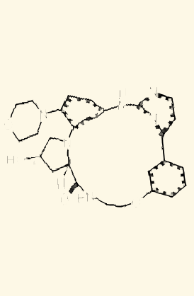 O=C1NCCOc2cccc(c2)-c2ccnc(n2)Nc2ccc(N3CCOCC3)c(c2)N2C[C@H](O)C[C@@H]12